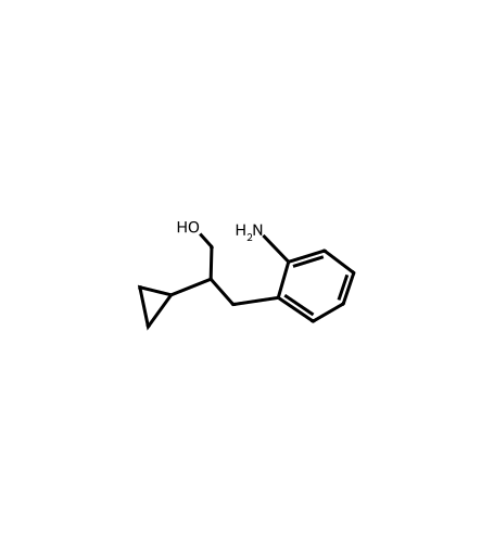 Nc1ccccc1CC(CO)C1CC1